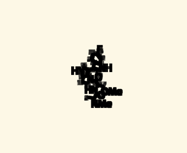 CNC(C)C(=O)NC(COC)C(=O)N1CCC2NCC(c3c[nH]c4cc(F)ccc34)=C21